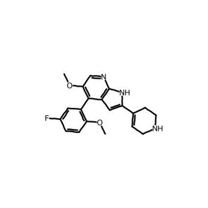 COc1ccc(F)cc1-c1c(OC)cnc2[nH]c(C3=CCNCC3)cc12